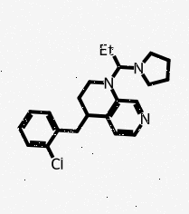 CCC(N1CCCC1)N1CCC(Cc2ccccc2Cl)c2ccncc21